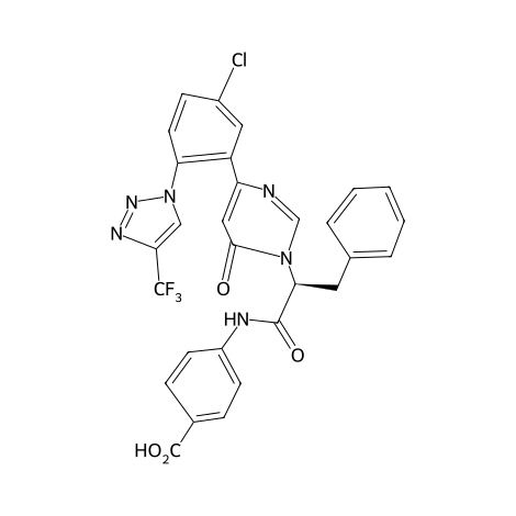 O=C(O)c1ccc(NC(=O)[C@H](Cc2ccccc2)n2cnc(-c3cc(Cl)ccc3-n3cc(C(F)(F)F)nn3)cc2=O)cc1